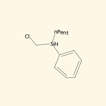 CCCCC[SiH](CCl)c1ccccc1